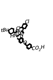 CC(C)(C)C1CCC(C(=O)N[C@@H](Cc2ccc(OCc3ccc(C(=O)O)cc3)cc2)c2nc(-c3ccc(Cl)cc3Cl)c[nH]2)CC1